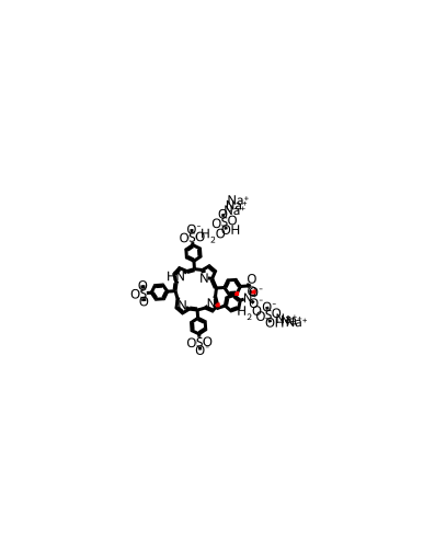 O.O.O=C([O-])c1ccc(-c2c3nc(c(-c4ccc(S(=O)(=O)[O-])cc4)c4ccc([nH]4)c(-c4ccc(S(=O)(=O)[O-])cc4)c4nc(c(-c5ccc(S(=O)(=O)[O-])cc5)c5ccc2n5Cc2ccc([N+](=O)[O-])cc2)C=C4)C=C3)cc1.O=S(=O)([O-])O.O=S(=O)([O-])O.[Na+].[Na+].[Na+].[Na+].[Na+].[Na+]